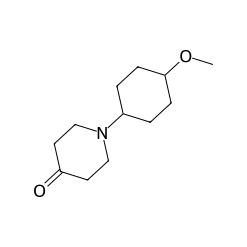 COC1CCC(N2CCC(=O)CC2)CC1